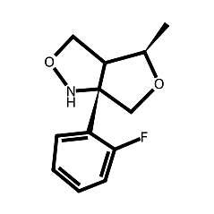 C[C@H]1OC[C@]2(c3ccccc3F)NOCC12